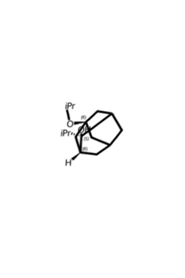 CC(C)O[C@]12CC3CC(C1)[C@@](O)(C(C)C)[C@H](C3)C2